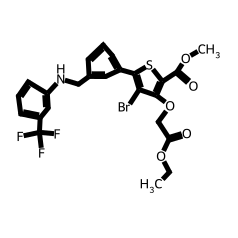 CCOC(=O)COc1c(C(=O)OC)sc(-c2cccc(CNc3cccc(C(F)(F)F)c3)c2)c1Br